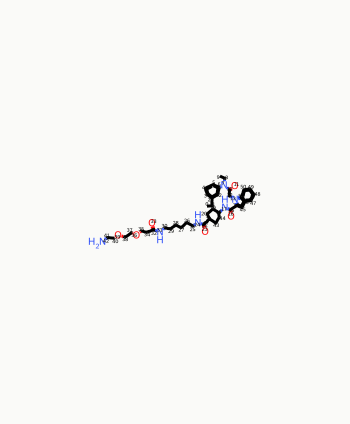 CCc1cccc(N(CC)C(=O)Cn2c(C(=O)NC3CCC(C(=O)NCCCCCCNC(=O)CCOCCOCCN)CC3)cc3ccccc32)c1